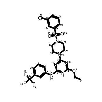 CCOc1nc(Nc2cccc(C(F)(F)F)c2)nc(N2CCN(S(=O)(=O)c3cccc(Cl)c3)CC2)n1